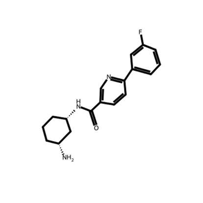 N[C@@H]1CCC[C@H](NC(=O)c2ccc(-c3cccc(F)c3)nc2)C1